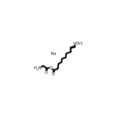 CCCCCCCCC=CCCCCCCCC(=O)OC(=O)CN.[Na]